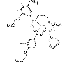 COCOc1c(C)cc(C(=O)NC2C(C(=O)c3cc(N)c(C)c(C)c3OCOC)CCCN(C(=O)O)C2OC(=O)c2ccccc2)cc1C